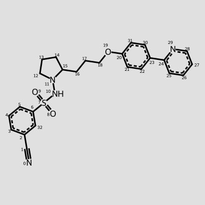 N#Cc1cccc(S(=O)(=O)NN2CCCC2CCCOc2ccc(-c3ccccn3)cc2)c1